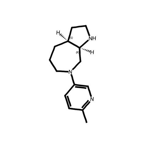 Cc1ccc(N2CCC[C@H]3CCN[C@H]3C2)cn1